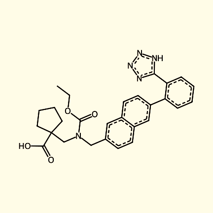 CCOC(=O)N(Cc1ccc2cc(-c3ccccc3-c3nnn[nH]3)ccc2c1)CC1(C(=O)O)CCCC1